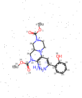 CC(C)(C)OC(=O)N1CCN2C(/C=C(\N)c3ccccc3O)=C(N)N(C(=O)OC(C)(C)C)CC2C1